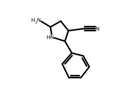 N#CC1CC(N)NC1c1ccccc1